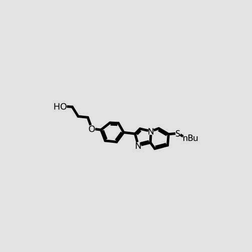 CCCCSc1ccc2nc(-c3ccc(OCCCO)cc3)cn2c1